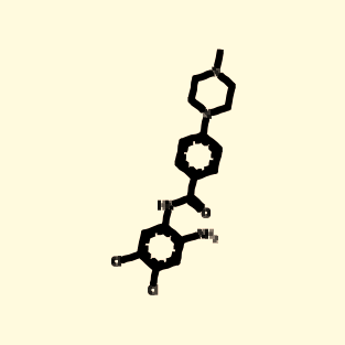 CN1CCN(c2ccc(C(=O)Nc3cc(Cl)c(Cl)cc3N)cc2)CC1